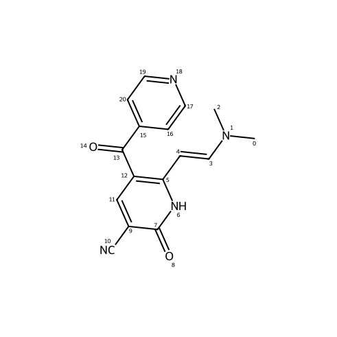 CN(C)/C=C/c1[nH]c(=O)c(C#N)cc1C(=O)c1ccncc1